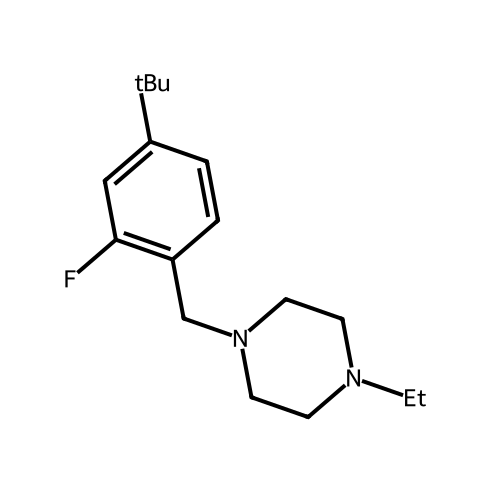 CCN1CCN(Cc2ccc(C(C)(C)C)cc2F)CC1